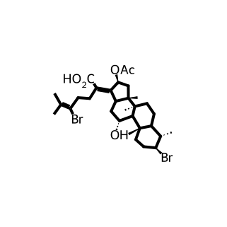 CC(=O)O[C@H]1C[C@@]2(C)C(C[C@@H](O)C3[C@@]4(C)CC[C@H](Br)[C@@H](C)C4CC[C@@]32C)/C1=C(\CCC(Br)=C(C)C)C(=O)O